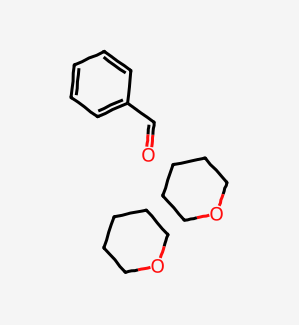 C1CCOCC1.C1CCOCC1.O=Cc1ccccc1